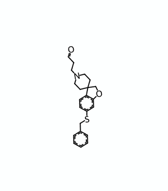 O=CCCN1CCC2(CC1)COc1cc(SCc3ccccc3)ccc12